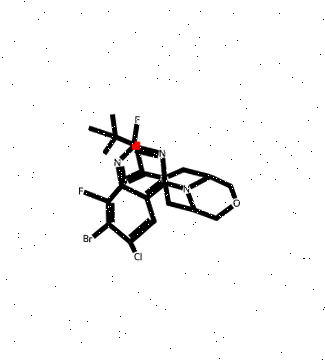 CC(C)(C)OC(=O)N1CC2COCC(C1)N2c1nc(F)nc2c(F)c(Br)c(Cl)cc12